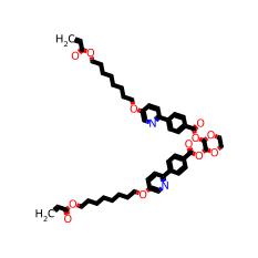 C=CC(=O)OCCCCCCCCOc1ccc(-c2ccc(C(=O)OC3OCCOC3OC(=O)c3ccc(-c4ccc(OCCCCCCCCOC(=O)C=C)cn4)cc3)cc2)nc1